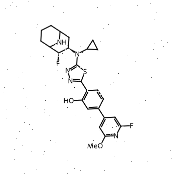 COc1cc(-c2ccc(-c3nnc(N(C4CC4)[C@@H]4CC5CCCC(N5)[C@@H]4F)s3)c(O)c2)cc(F)n1